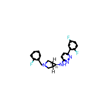 Fc1ccc(F)c(-c2ccc(N[C@H]3[C@@H]4CN(Cc5ccccc5F)C[C@@H]43)nn2)c1